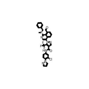 CP(Cc1ccccc1)c1ncc(-n2ncc(C(=O)Nc3ccc(-n4cccn4)c(Cl)c3)c2C(F)(F)F)c2cccc(C=O)c12